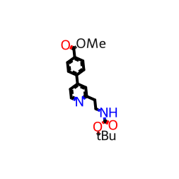 COC(=O)c1ccc(-c2ccnc(CCNC(=O)OC(C)(C)C)c2)cc1